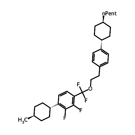 CCCCC[C@H]1CC[C@H](c2ccc(CCOC(F)(F)c3ccc([C@H]4CC[C@H](C)CC4)c(F)c3F)cc2)CC1